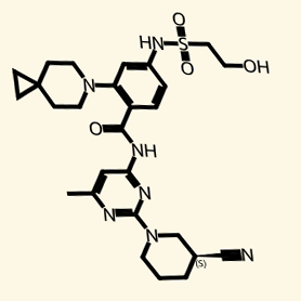 Cc1cc(NC(=O)c2ccc(NS(=O)(=O)CCO)cc2N2CCC3(CC2)CC3)nc(N2CCC[C@H](C#N)C2)n1